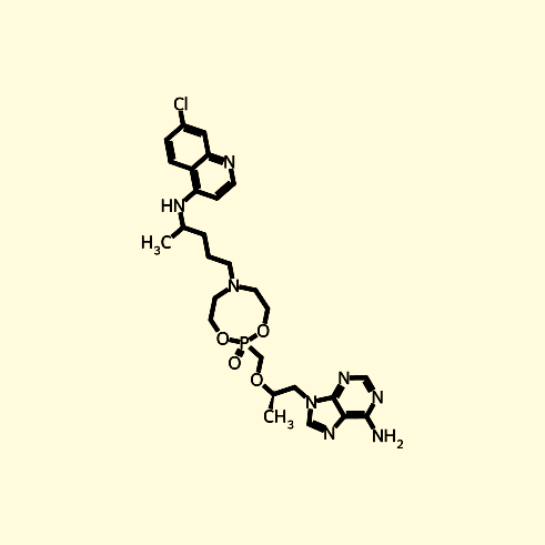 CC(CCCN1CCOP(=O)(CO[C@H](C)Cn2cnc3c(N)ncnc32)OCC1)Nc1ccnc2cc(Cl)ccc12